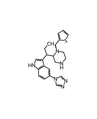 CCC(c1c[nH]c2ccc(-n3cnnc3)cc12)C1CNCCN1Cc1cccs1